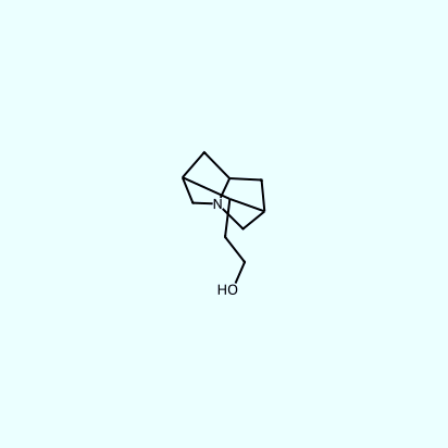 OCCC1C2CC3CC1CN3C2